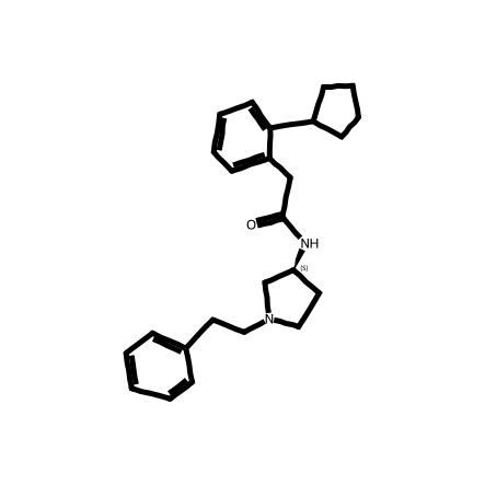 O=C(Cc1ccccc1C1CCCC1)N[C@H]1CCN(CCc2ccccc2)C1